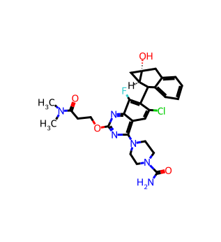 CN(C)C(=O)CCOc1nc(N2CCN(C(N)=O)CC2)c2cc(Cl)c(C3c4ccccc4C[C@]4(O)C[C@H]34)c(F)c2n1